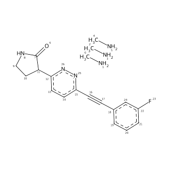 CN.CN.CN.O=C1NCCC1c1ccc(C#Cc2cccc(F)c2)nn1